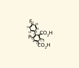 Cc1c(C(=O)O)cc(F)c(-c2ccc(F)cc2)c1C(=O)O